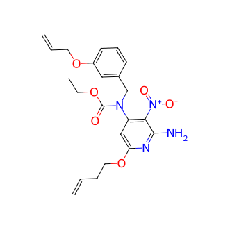 C=CCCOc1cc(N(Cc2cccc(OCC=C)c2)C(=O)OCC)c([N+](=O)[O-])c(N)n1